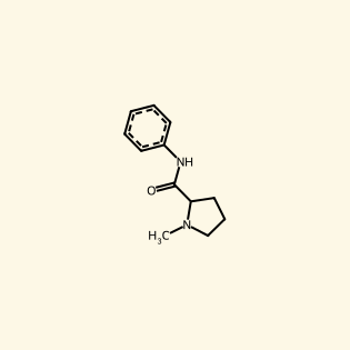 CN1CCCC1C(=O)Nc1ccccc1